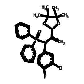 C=C(B1OC(C)(C)C(C)(C)O1)C(c1ccc(F)c(Cl)c1)P(=O)(c1ccccc1)c1ccccc1